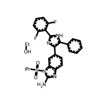 CC(C)S(=O)(=O)n1c(N)nc2ccc(-c3nc(-c4c(F)cccc4F)[nH]c3-c3ccccc3)cc21.CCO